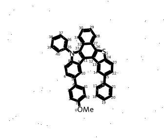 COc1ccc(-c2ccc3c(c2)c2c4c5cc(-c6ccccc6)ccc5sc4c4ccccc4c2n3-c2ccccc2)cc1